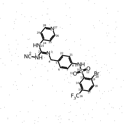 N#CN/C(=N\Cc1ccc(NS(=O)(=O)c2cc(C(F)(F)F)ccc2Br)cc1)Nc1ccncc1